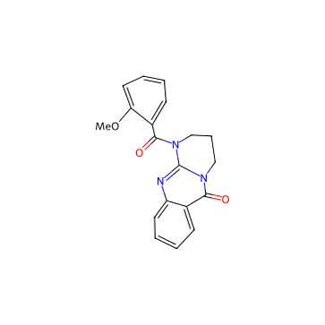 COc1ccccc1C(=O)N1CCCn2c1nc1ccccc1c2=O